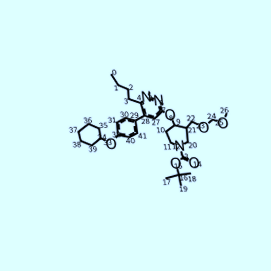 CCCCc1nnc(OC2CCN(C(=O)OC(C)(C)C)CC2COCOC)cc1-c1ccc(OC2CCCCC2)cc1